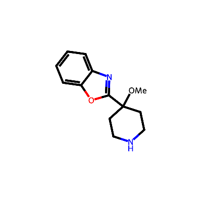 COC1(c2nc3ccccc3o2)CCNCC1